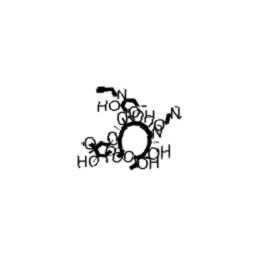 C#CCCN(C)[C@H]1C[C@@H](C)OC(O[C@@H]2[C@@H](C)[C@H](O[C@H]3C[C@@](C)(OC)[C@@H](O)[C@H](C)O3)[C@@H](C)C(=O)O[C@H](CC)[C@@](C)(O)[C@H](O)[C@@H](C)/C(=N/OCCN(C)C)[C@H](C)C[C@@]2(C)O)[C@@H]1O